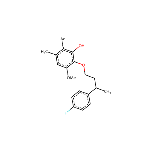 COc1cc(C)c(C(C)=O)c(O)c1OCCC(C)c1ccc(F)cc1